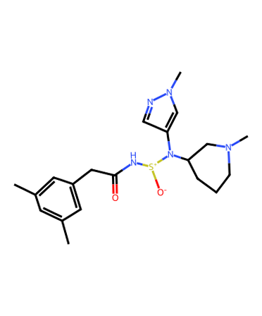 Cc1cc(C)cc(CC(=O)N[S+]([O-])N(c2cnn(C)c2)C2CCCN(C)C2)c1